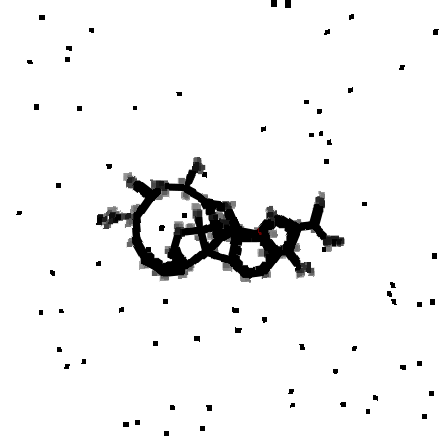 COC(=O)c1nc(-c2nc3oc2C24c5ccccc5N[C@H]2Oc2ccc(cc24)C[C@H](N)C(=O)N[C@H]3C(C)C)oc1C